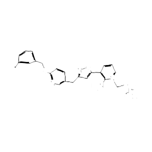 Nc1c(-c2cc(Cc3ccc(OCc4cccc(Cl)c4)nc3)no2)ccc[n+]1COP(=O)([O-])O